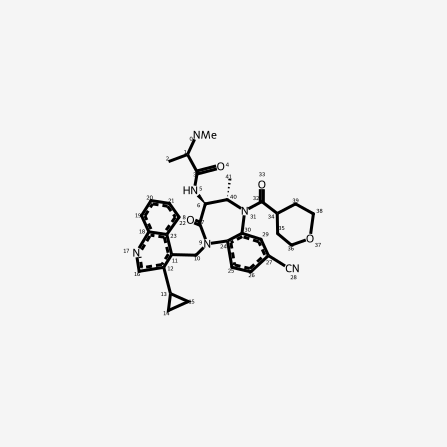 CNC(C)C(=O)N[C@@H]1C(=O)N(Cc2c(C3CC3)cnc3ccccc23)c2ccc(C#N)cc2N(C(=O)C2CCOCC2)[C@H]1C